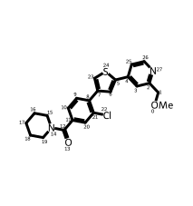 COCc1cc(-c2cc(-c3ccc(C(=O)N4CCCCC4)cc3Cl)cs2)ccn1